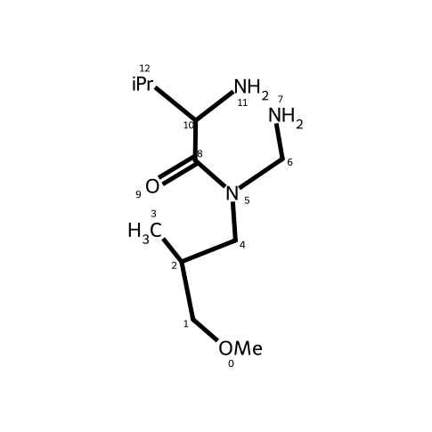 COCC(C)CN(CN)C(=O)C(N)C(C)C